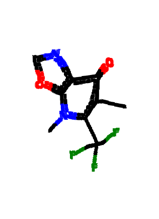 Cc1c(C(F)(F)F)n(C)c2ocnc2c1=O